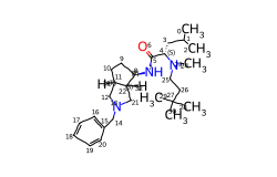 CC(C)C[C@@H](C(=O)N[C@@H]1CC[C@H]2CN(Cc3ccccc3)C[C@H]21)N(C)CCC(C)(C)C